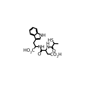 CC(S)C(=O)NC(CC(=O)O)C(=O)NC(Cc1c[nH]c2ccccc12)C(=O)O